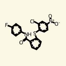 O=C(Nc1ccc(F)cc1)c1ccccc1Sc1ccc([N+](=O)[O-])cc1Cl